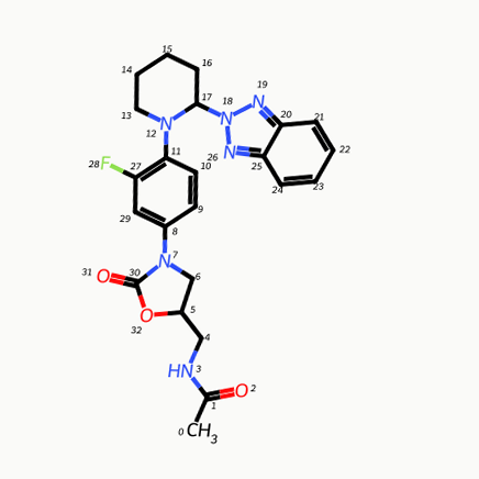 CC(=O)NCC1CN(c2ccc(N3CCCCC3n3nc4ccccc4n3)c(F)c2)C(=O)O1